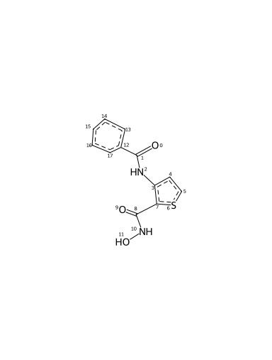 O=C(Nc1ccsc1C(=O)NO)c1ccccc1